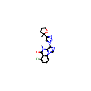 Cn1c(=O)c2c(F)cccc2n2cnc(-n3cc(C4(C)CCCO4)nn3)c12